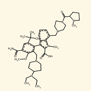 CCN(CC)C1CCN(Cc2c(OC)c(C(N)=O)cc(C(C)(C)C)c2-c2c(C(=O)O)n(C)c3c(CN4CCN(C(=O)C5CCCN5C)CC4)cccc23)CC1